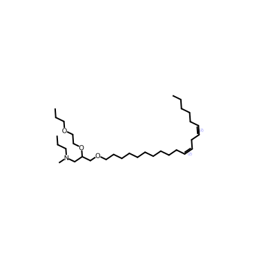 CCCCC/C=C\C/C=C\CCCCCCCCCCOCC(CN(C)CCC)OCCOCCC